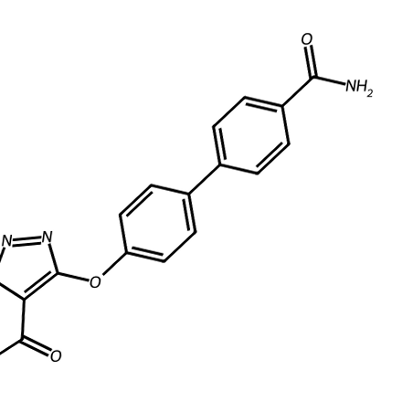 NC(=O)c1ccc(-c2ccc(Oc3nn[nH]c3C(=O)O)cc2)cc1